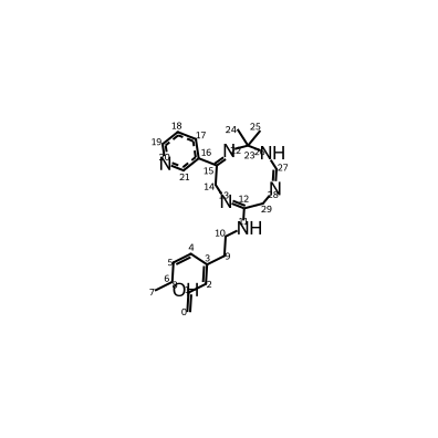 C=C/C=C(\C=C/C(C)O)CCN/C1=N/C/C(c2cccnc2)=N\C(C)(C)N/C=N\C1